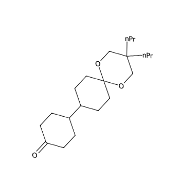 CCCC1(CCC)COC2(CCC(C3CCC(=O)CC3)CC2)OC1